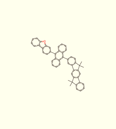 CC1(C)c2ccccc2-c2cc3c(cc21)-c1cc(-c2c4ccccc4c(-c4ccc5c(c4)oc4ccccc45)c4ccccc24)ccc1C3(C)C